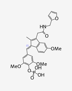 COc1ccc2c(c1)C(CC(=O)NCc1ccco1)=C(C)/C2=C/c1cc(OC)c(OP(=O)(O)O)c(OC)c1